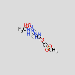 CC1CN(C(=NO)NC(=O)C(F)(F)F)CCN1c1ncc(OCc2ccc(S(C)(=O)=O)cc2)cn1